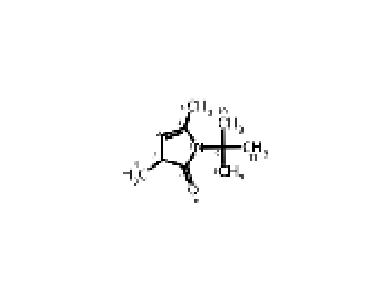 CC1=CC(C)C(=O)N1C(C)(C)C